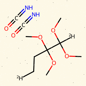 N=C=O.N=C=O.[2H]CCC(OC)(OC)C([2H])(OC)OC